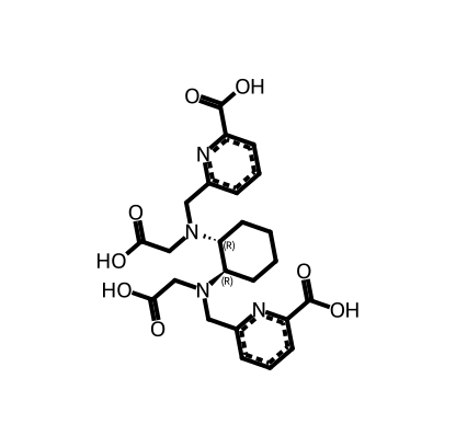 O=C(O)CN(Cc1cccc(C(=O)O)n1)[C@@H]1CCCC[C@H]1N(CC(=O)O)Cc1cccc(C(=O)O)n1